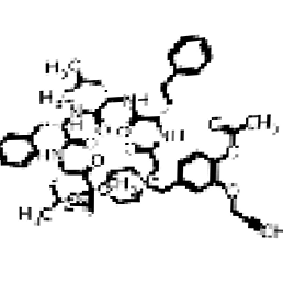 C#CCOc1cc(C[N+]2(CC(=O)N[C@@H](CCc3ccccc3)C(=O)N[C@@H](CC(C)C)C(=O)N[C@@H](Cc3ccccc3)C(=O)N[C@@H](CC(C)C)C(=O)[C@@]3(C)CO3)CCOCC2)ccc1OC(C)=O